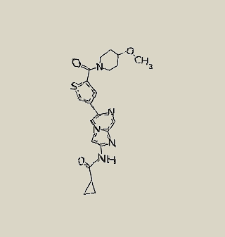 COC1CCN(C(=O)c2cc(-c3cn4cc(NC(=O)C5CC5)nc4cn3)cs2)CC1